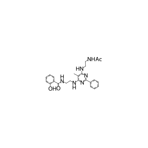 CC(=O)NCCNc1nc(-c2ccccc2)nc(NCCNC(=O)c2ccccc2O)c1C